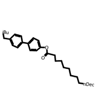 CCCCCCCCCCCCCCCCCCC(=O)Oc1ccc(-c2ccc(CC(C)CC)cc2)cc1